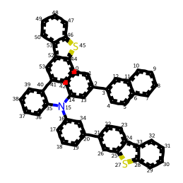 c1cc(-c2ccc3ccccc3c2)cc(N(c2cccc(-c3ccc4c(c3)sc3ccccc34)c2)c2ccccc2-c2ccc3sc4ccccc4c3c2)c1